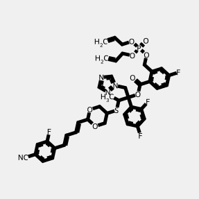 C=CCOP(=O)(OCC=C)OCc1cc(F)ccc1C(=O)OC(Cn1cncn1)(c1ccc(F)cc1F)C(C)SC1COC(C=CC=Cc2ccc(C#N)cc2F)OC1